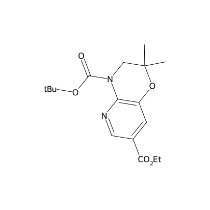 CCOC(=O)c1cnc2c(c1)OC(C)(C)CN2C(=O)OC(C)(C)C